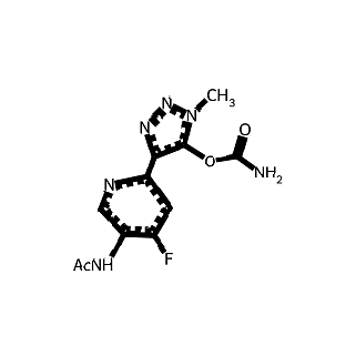 CC(=O)Nc1cnc(-c2nnn(C)c2OC(N)=O)cc1F